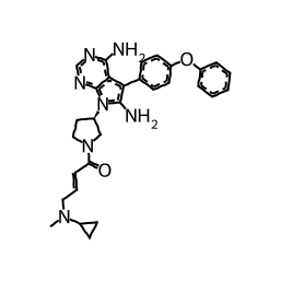 CN(CC=CC(=O)N1CC[C@@H](n2c(N)c(-c3ccc(Oc4ccccc4)cc3)c3c(N)ncnc32)C1)C1CC1